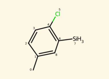 Cc1ccc(Cl)c([SiH3])c1